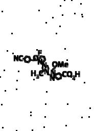 COCCn1c(CN2CCN(c3ccc(F)c(OCc4ccc(C#N)cc4)n3)C[C@@H]2C)nc2ccc(C(=O)O)cc21